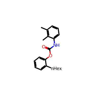 CCCCCCc1ccccc1OC(=O)Nc1cccc(C)c1C